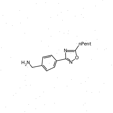 CCCCCc1nc(-c2ccc(CN)cc2)no1